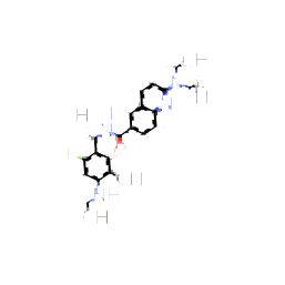 CCNc1cc(F)c([C@@H](C)NC(=O)c2ccc3nc(N(CC)CC)ccc3c2)cc1C